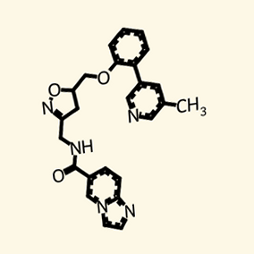 Cc1cncc(-c2ccccc2OCC2CC(CNC(=O)c3ccc4nccn4c3)=NO2)c1